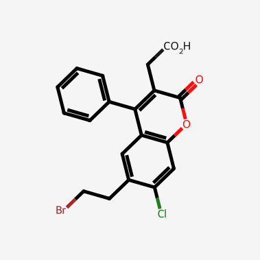 O=C(O)Cc1c(-c2ccccc2)c2cc(CCBr)c(Cl)cc2oc1=O